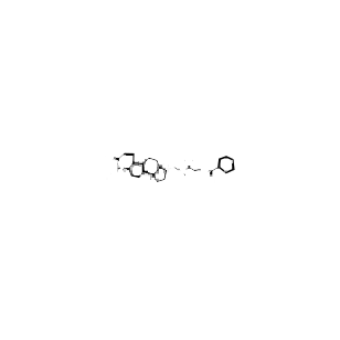 CN1C(=O)C=C[C@]2(C)[C@H]3CC[C@]4(C)[C@@H](CNC(=O)COC(=O)c5ccccc5)CC[C@H]4[C@@H]3CC[C@@H]12